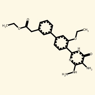 CCOC(=O)Cc1cccc(-c2ccc(-c3nc(NN)c(N)c(=O)[nH]3)c(OCC)c2)c1